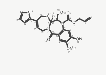 C=CCOC(=O)N1c2cc(O)c(OC)cc2C(=O)N2CC=C(c3cccs3)CS[C@@H]2C1OC